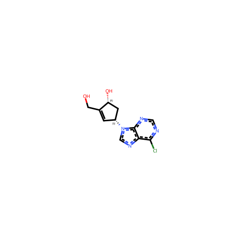 OCC1=C[C@@H](n2cnc3c(Cl)ncnc32)C[C@H]1O